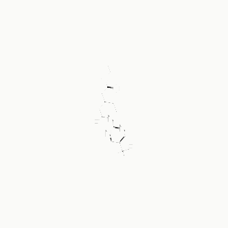 CCOC(=O)CC1CCN(c2ncc(C(F)(F)F)cn2)C(F)C1